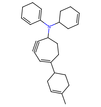 CC1=CCC(C2=CC#CC(N(C3=CCCC=C3)C3CC=CCC3)CC2)CC1